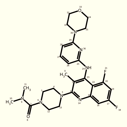 Cc1c(N2CCN(C(=O)N(C)C)CC2)nc2cc(F)cc(F)c2c1Nc1cccc(N2CCOCC2)n1